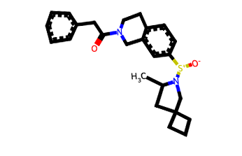 CC1CC2(CCC2)CN1[S+]([O-])c1ccc2c(c1)CN(C(=O)Cc1ccccc1)CC2